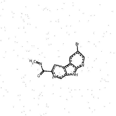 C=NC(=O)c1cc2c(cn1)[nH]c1ncc(Br)cc12